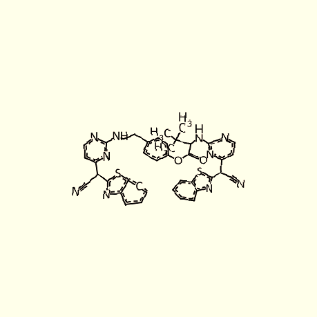 CC(C)(C)C(Nc1nccc(C(C#N)c2nc3ccccc3s2)n1)C(=O)Oc1ccc(CCNc2nccc(C(C#N)c3nc4ccccc4s3)n2)cc1